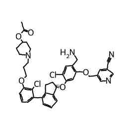 CC(=O)OC1CCN(CCCOc2cccc(-c3cccc4c3CC[C@@H]4Oc3cc(OCc4cncc(C#N)c4)c(CN)cc3Cl)c2Cl)CC1